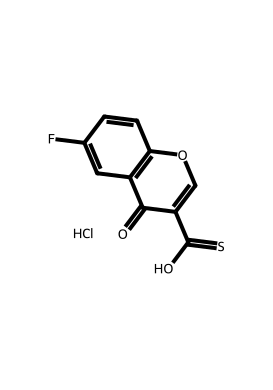 Cl.O=c1c(C(O)=S)coc2ccc(F)cc12